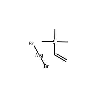 C=C[Si](C)(C)C.[Br][Mg][Br]